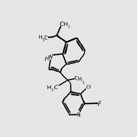 CC(C)c1cccc2c(C(C)(C)c3ccnc(F)c3Cl)c[nH]c12